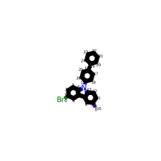 Brc1ccc2c(c1)c1cc(I)ccc1n2-c1ccc(-c2ccccc2)cc1